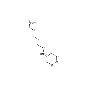 CCCCCCCCCCCCCNC1CCCCC1